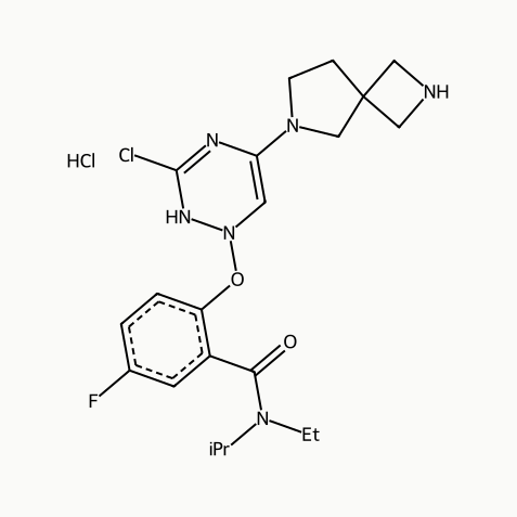 CCN(C(=O)c1cc(F)ccc1ON1C=C(N2CCC3(CNC3)C2)N=C(Cl)N1)C(C)C.Cl